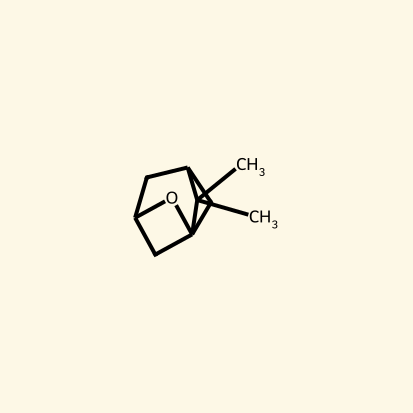 CC1(C)C2CC3CC1(C2)O3